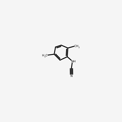 Cc1ccc(C)c(NC#N)c1